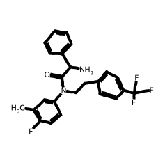 Cc1cc(N(CCc2ccc(C(F)(F)F)cc2)C(=O)C(N)c2ccccc2)ccc1F